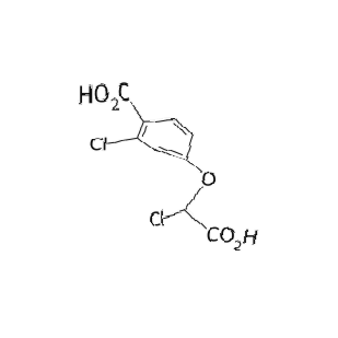 O=C(O)c1ccc(OC(Cl)C(=O)O)cc1Cl